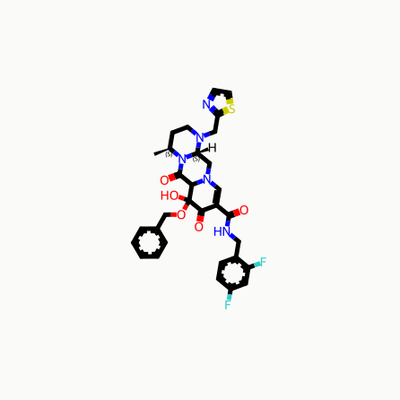 C[C@H]1CCN(Cc2nccs2)[C@@H]2CN3C=C(C(=O)NCc4ccc(F)cc4F)C(=O)C(O)(OCc4ccccc4)C3C(=O)N12